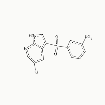 O=[N+]([O-])c1cccc(S(=O)(=O)c2c[nH]c3ncc(Cl)cc23)c1